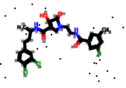 Cc1cc(F)cc(C(=O)NCCN2CC(C(=O)NC(C)CCc3ccc(Cl)c(Cl)c3)=C(O)C2=O)c1